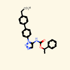 CC(OC(=O)Nc1cnnn1-c1ccc(-c2ccc(CC(=O)O)cc2)cc1)c1ccccc1